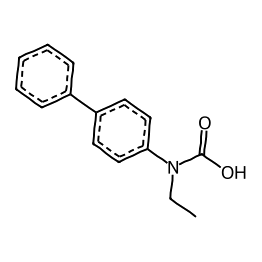 CCN(C(=O)O)c1ccc(-c2ccccc2)cc1